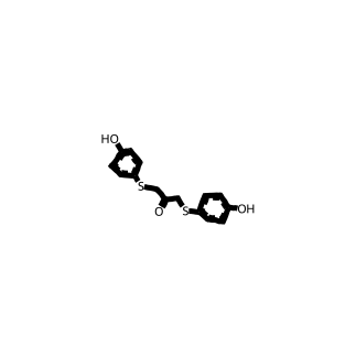 O=C(CSc1ccc(O)cc1)CSc1ccc(O)cc1